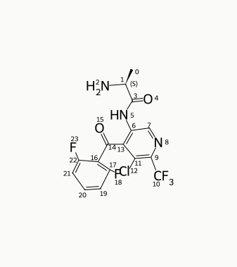 C[C@H](N)C(=O)Nc1cnc(C(F)(F)F)c(Cl)c1C(=O)c1c(F)cccc1F